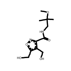 COC(C)(C)CNC(=O)c1noc(CO)c1CO